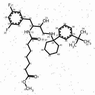 COC(=O)CCCCCC(=O)NC(Cc1cc(F)cc(F)c1)C(O)CNC1(c2cccc(C(C)(C)C)c2)CCCCC1